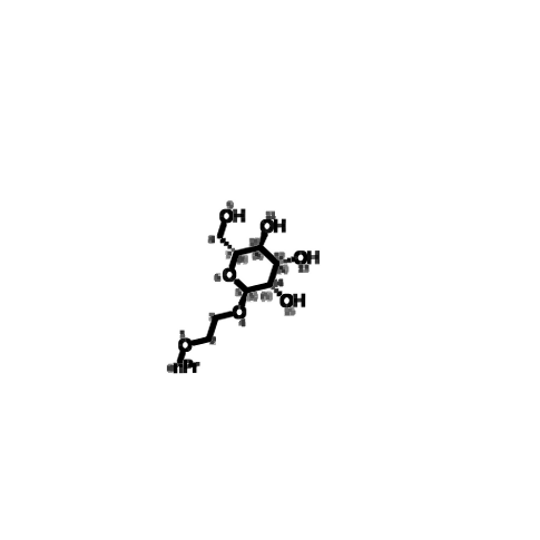 CCCOCCO[C@H]1O[C@H](CO)[C@@H](O)[C@H](O)[C@@H]1O